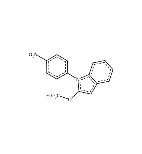 CCOC(=O)Oc1cc2ccccc2n1-c1ccc([N+](=O)[O-])cc1